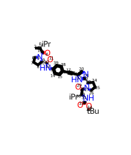 CC(C)[C@@H](C)C(=O)N1CCC[C@H]1C(=O)Nc1ccc(C#Cc2cnc([C@@H]3CCCN3C(=O)[C@H](NC(=O)OC(C)(C)C)C(C)C)[nH]2)cc1